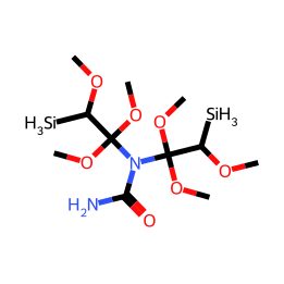 COC([SiH3])C(OC)(OC)N(C(N)=O)C(OC)(OC)C([SiH3])OC